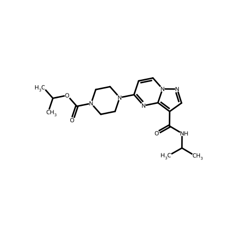 CC(C)NC(=O)c1cnn2ccc(N3CCN(C(=O)OC(C)C)CC3)nc12